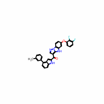 Cc1cccc(-c2cccc3[nH]c(C(=O)c4cnn5c4[nH]c4cc(Oc6cccc(F)c6F)ccc45)cc23)c1